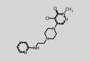 Cn1ncc(N2CCN(CCNc3ccccn3)CC2)c(Cl)c1=O